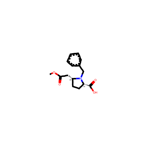 COC(=O)C[C@H]1CC[C@@H](C(=O)O)N1Cc1ccccc1